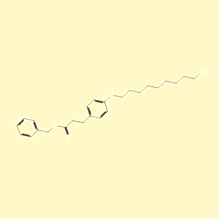 CCCCCCCCCCNc1ccc(CCC(=O)OCc2ccccc2)cc1